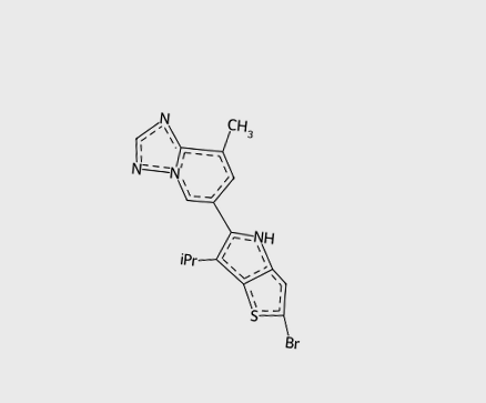 Cc1cc(-c2[nH]c3cc(Br)sc3c2C(C)C)cn2ncnc12